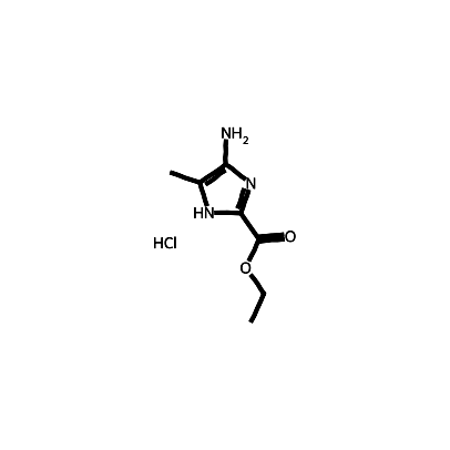 CCOC(=O)c1nc(N)c(C)[nH]1.Cl